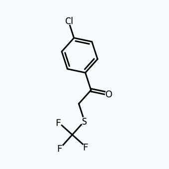 O=C(CSC(F)(F)F)c1ccc(Cl)cc1